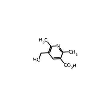 Cc1nc(C)c(C(=O)O)cc1CO